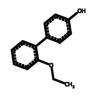 CCOc1ccccc1-c1[c]cc(O)cc1